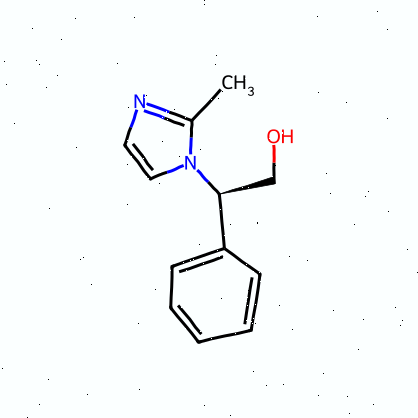 Cc1nccn1[C@@H](CO)c1ccccc1